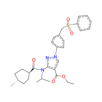 CCOC(=O)c1cn(-c2ccc(CS(=O)(=O)c3ccccc3)cc2)nc1N(C(=O)[C@H]1CC[C@H](C)CC1)C(C)C